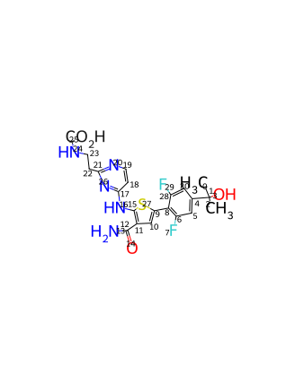 CC(C)(O)c1cc(F)c(-c2cc(C(N)=O)c(Nc3ccnc(CCNC(=O)O)n3)s2)c(F)c1